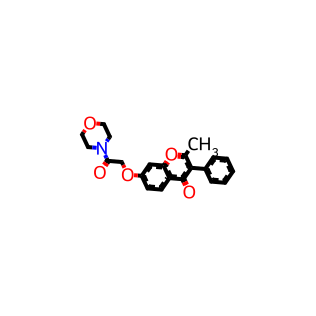 Cc1oc2cc(OCC(=O)N3CCOCC3)ccc2c(=O)c1-c1ccccc1